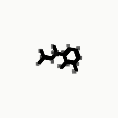 CC(C)=CN(C)c1cccc(C)c1C